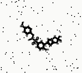 COc1ccc(CN(C)S(=O)(=O)c2ccc(F)c(-c3cn4c(n3)CC(C)(C)C4)c2)cc1